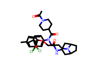 CC(=O)N1CCC(C(=O)N(CCCN2C3CCC2CC(NC(=O)COc2ccc(C)cc2Cl)C3)c2ccc(C)c(Cl)c2)CC1